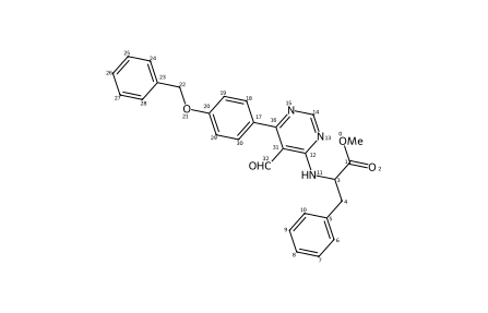 COC(=O)C(Cc1ccccc1)Nc1ncnc(-c2ccc(OCc3ccccc3)cc2)c1C=O